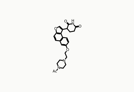 CC(=O)N1CCN(CCOc2ccc3c(ccc4occ(C5CCC(=O)NC5=O)c43)c2)CC1